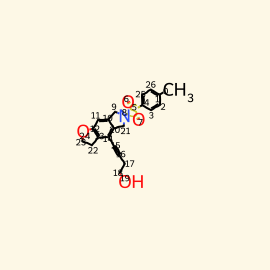 Cc1ccc(S(=O)(=O)N2Cc3cc4c(c(C#CCCO)c3C2)CCO4)cc1